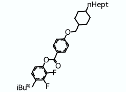 CCCCCCCC1CCC(COc2ccc(C(=O)Oc3ccc(C[C@@H](C)CC)c(F)c3F)cc2)CC1